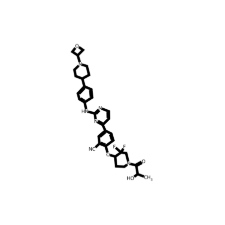 CC(O)C(=O)N1CCC(Oc2ccc(-c3ccnc(Nc4ccc(C5CCN(C6COC6)CC5)cc4)n3)cc2C#N)C(F)(F)C1